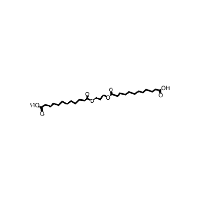 O=C(O)CCCCCCCCCCC(=O)OCCCOC(=O)CCCCCCCCCCC(=O)O